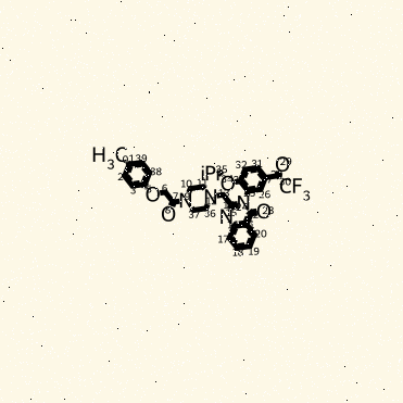 Cc1ccc(OCC(=O)N2CCN(Cc3nc4ccccc4c(=O)n3-c3cc(C(=O)C(F)(F)F)ccc3OC(C)C)CC2)cc1